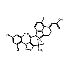 CC(C)(F)c1onc(-c2c(Cl)cc(Cl)cc2Cl)c1C(=O)n1cc2c3c(c(F)ccc31)/C(=C/C(=O)O)CC2